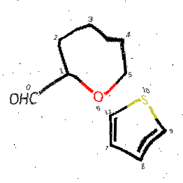 O=CC1CCCCO1.c1ccsc1